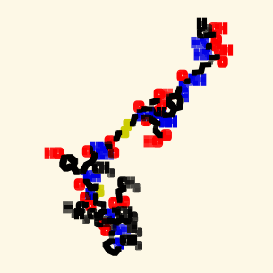 CCCC(=O)OCN(C(=O)[C@@H](NC(=O)[C@H]1CCCCN1C)C(C)CC)[C@H](C[C@@H](OC(C)=O)c1nc(C(=O)N[C@@H](Cc2ccc(O)cc2)C[C@H](C)C(=O)NNC(=O)OCCSSCCNC(=O)[C@H](CC(=O)O)NC(=O)[C@H](CC(=O)O)NC(=O)Cc2ccc(CNC(=O)NCCCC[C@H](NC(=O)N[C@@H](C)C(=O)O)C(=O)O)cc2)cs1)C(C)C